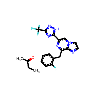 CCC(C)=O.Fc1ccccc1Cc1nc(-c2nc(C(F)(F)F)n[nH]2)cn2ccnc12